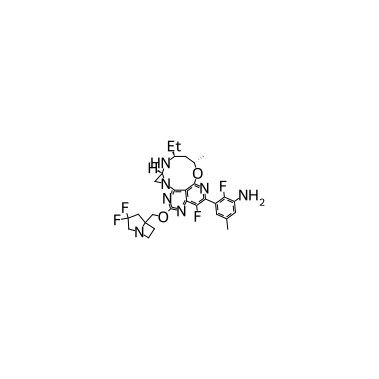 CC[C@H]1C[C@H](C)Oc2nc(-c3cc(C)cc(N)c3F)c(F)c3nc(OCC45CCN4CC(F)(F)C5)nc(c23)N2C[C@@H]2N1